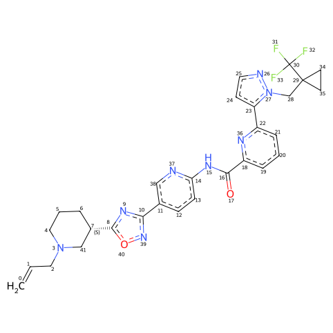 C=CCN1CCC[C@H](c2nc(-c3ccc(NC(=O)c4cccc(-c5ccnn5CC5(C(F)(F)F)CC5)n4)nc3)no2)C1